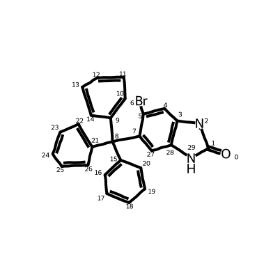 O=C1[N]c2cc(Br)c(C(c3ccccc3)(c3ccccc3)c3ccccc3)cc2N1